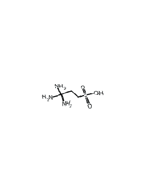 NC(N)(N)CCS(=O)(=O)O